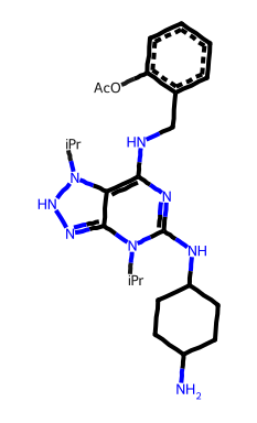 CC(=O)Oc1ccccc1CNC1=C2C(=NNN2C(C)C)N(C(C)C)C(NC2CCC(N)CC2)=N1